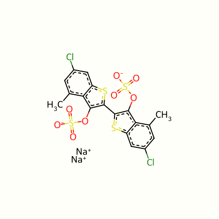 Cc1cc(Cl)cc2sc(-c3sc4cc(Cl)cc(C)c4c3OS(=O)(=O)[O-])c(OS(=O)(=O)[O-])c12.[Na+].[Na+]